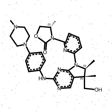 C[C@@H]1N(c2cccc(N3C(=O)OC[C@@H]3C)n2)c2nc(Nc3ccc(N4CCN(C)CC4)cc3)ncc2[C@@]1(C)CO